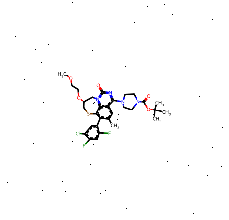 COCCO[C@@H]1CSc2c(-c3cc(Cl)c(F)cc3F)c(C)cc3c(N4CCN(C(=O)OC(C)(C)C)CC4)nc(=O)n(c23)C1